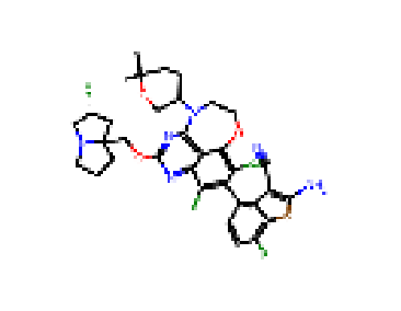 CC1(C)CCC(N2CCOc3c(Cl)c(-c4ccc(F)c5sc(N)c(C#N)c45)c(F)c4nc(OC[C@@]56CCCN5C[C@H](F)C6)nc2c34)CO1